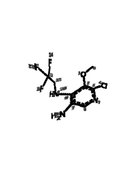 COc1c(Cl)ncc(N)c1NCC(F)(F)F